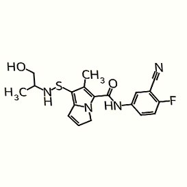 Cc1c(SNC(C)CO)c2n(c1C(=O)Nc1ccc(F)c(C#N)c1)CC=C2